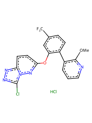 COc1ncccc1-c1ccc(C(F)(F)F)cc1Oc1ccc2nnc(Cl)n2n1.Cl